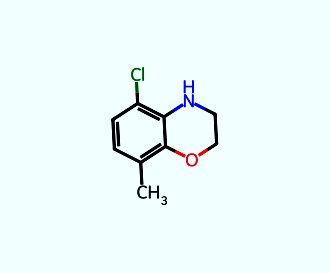 Cc1ccc(Cl)c2c1OCCN2